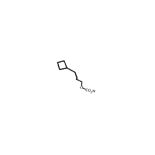 O=C(O)OCCCC1CCC1